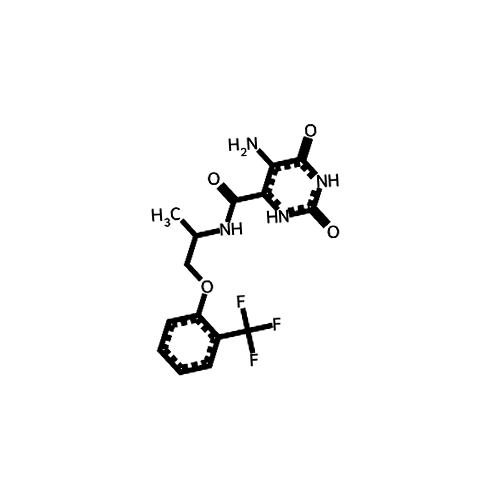 CC(COc1ccccc1C(F)(F)F)NC(=O)c1[nH]c(=O)[nH]c(=O)c1N